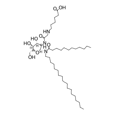 CCCCCCCCCCCCCCCCCCN(C(=O)CCCCCCCCCCC)[C@@H]1O[C@H](CO)[C@@H](O)[C@H](O)[C@@H]1NC(=O)CNCCCCCC(=O)O